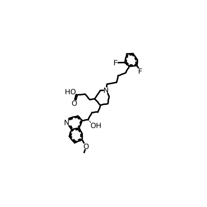 COc1ccc2nccc([C@@H](O)CCC3CCN(CCCCc4c(F)cccc4F)CC3CCC(=O)O)c2c1